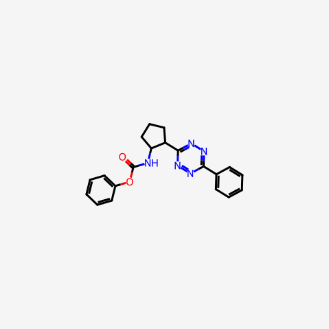 O=C(NC1CCCC1c1nnc(-c2ccccc2)nn1)Oc1ccccc1